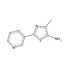 Cc1nc(-c2cccnc2)sc1N